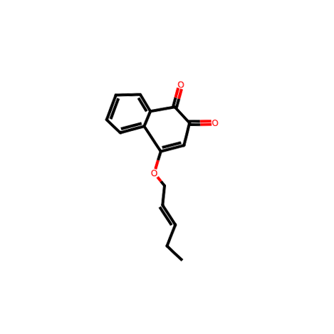 CCC=CCOC1=CC(=O)C(=O)c2ccccc21